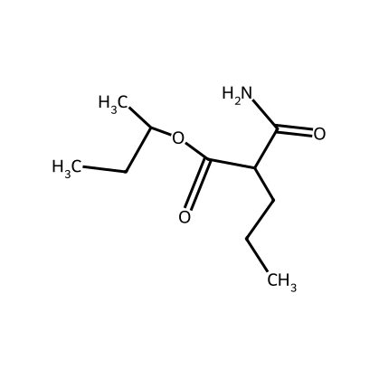 CCCC(C(N)=O)C(=O)OC(C)CC